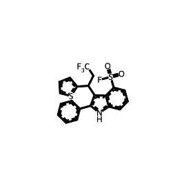 O=S(=O)(F)c1cccc2[nH]c(-c3ccccc3)c(C(CC(F)(F)F)c3cccs3)c12